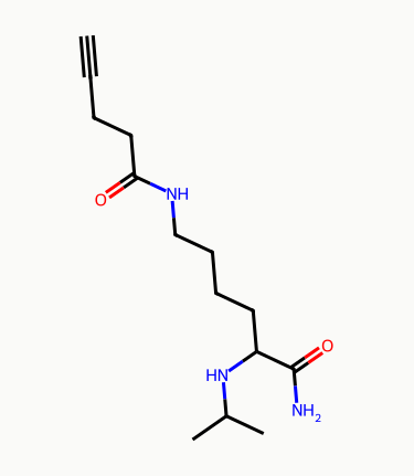 C#CCCC(=O)NCCCCC(NC(C)C)C(N)=O